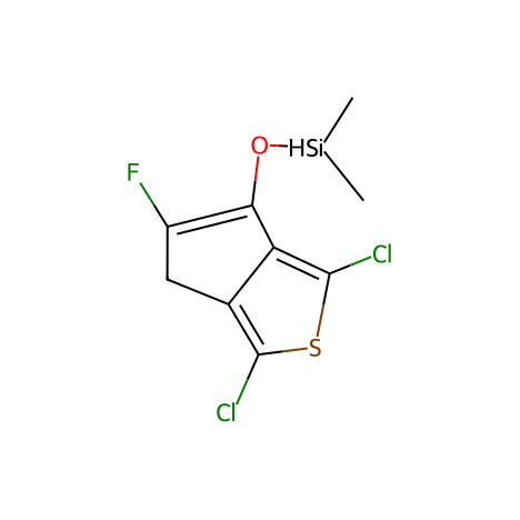 C[SiH](C)OC1=C(F)Cc2c(Cl)sc(Cl)c21